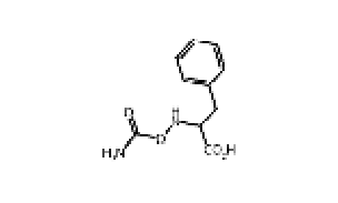 NC(=O)ONC(Cc1ccccc1)C(=O)O